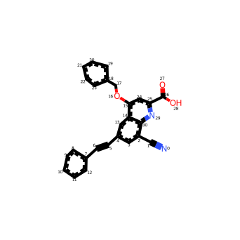 N#Cc1cc(C#Cc2ccccc2)cc2c(OCc3ccccc3)cc(C(=O)O)nc12